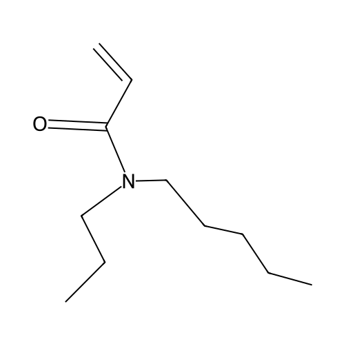 C=CC(=O)N(CCC)CCCCC